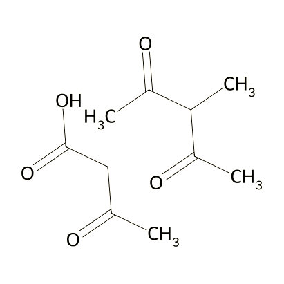 CC(=O)C(C)C(C)=O.CC(=O)CC(=O)O